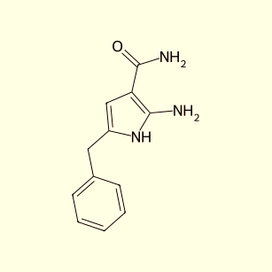 NC(=O)c1cc(Cc2ccccc2)[nH]c1N